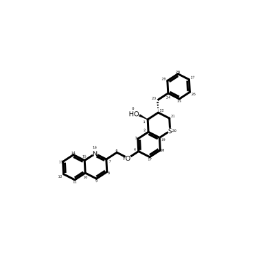 O[C@@H]1c2cc(OCc3ccc4ccccc4n3)ccc2SC[C@H]1Cc1ccccc1